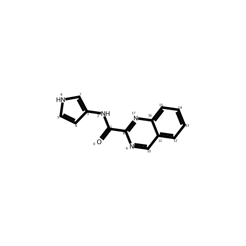 O=C(Nc1cc[nH]c1)c1ncc2ccccc2n1